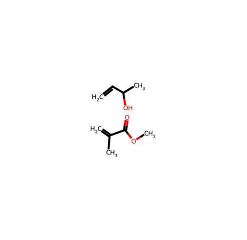 C=C(C)C(=O)OC.C=CC(C)O